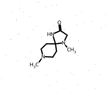 CN1CCC2(CC1)NC(=O)CN2C